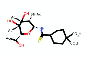 CC(=O)N[C@@H]1[C@H](NC(=S)C2CCC(C(=O)O)(C(=O)O)CC2)O[C@H](C(O)C(C)=O)[C@@](O)(C(C)=O)[C@@]1(O)C(C)=O